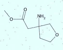 COC(=O)CC1(N)CCOC1